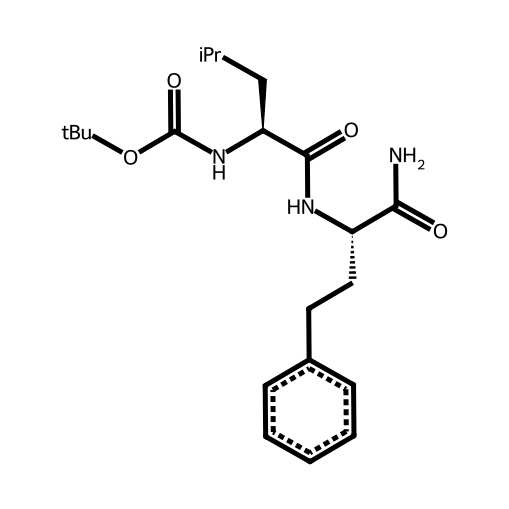 CC(C)C[C@H](NC(=O)OC(C)(C)C)C(=O)N[C@@H](CCc1ccccc1)C(N)=O